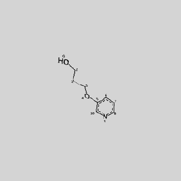 OCCCOc1cccnc1